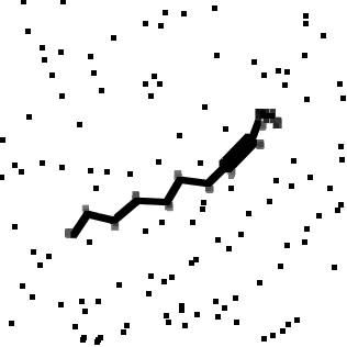 CCCCCCCC#CP